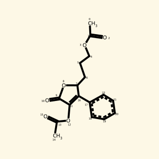 CC(=O)OCCCC1OC(=O)C(OC(C)=O)=C1c1ccccc1